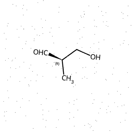 C[C@@H](C=O)CO